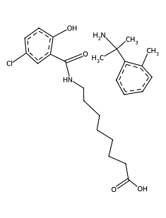 Cc1ccccc1C(C)(C)N.O=C(O)CCCCCCCNC(=O)c1cc(Cl)ccc1O